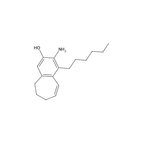 CCCCCCc1c(N)c(O)cc2c1C=CCCC2